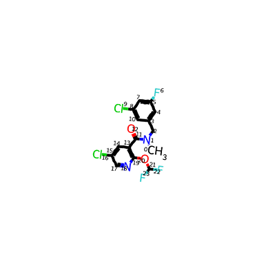 CN(Cc1cc(F)cc(Cl)c1)C(=O)c1cc(Cl)cnc1OC(F)F